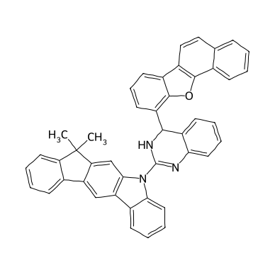 CC1(C)c2ccccc2-c2cc3c4ccccc4n(C4=Nc5ccccc5C(c5cccc6c5oc5c7ccccc7ccc65)N4)c3cc21